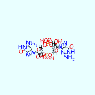 Nc1cc2c(ncn2[C@@H]2O[C@@H]3COP(=O)(O)O[C@H]4[C@@H](O)[C@H](n5cnc6c(=O)[nH]c(N)nc65)O[C@@H]4COP(=O)(O)O[C@H]3[C@H]2O)c(=O)[nH]1